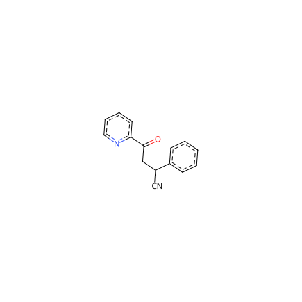 N#CC(CC(=O)c1ccccn1)c1ccccc1